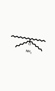 CCCCCCCCCCC(CCCCCCCC)C(Cl)(CCCCCCCC)CCCCCCCC.N